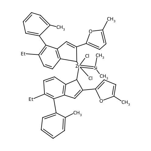 CCc1ccc2c(c1-c1ccccc1C)C=C(c1ccc(C)o1)[CH]2[Zr]([Cl])([Cl])([CH]1C(c2ccc(C)o2)=Cc2c1ccc(CC)c2-c1ccccc1C)=[Si](C)C